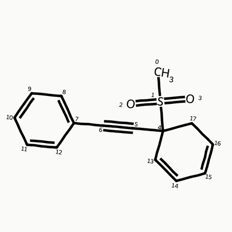 CS(=O)(=O)C1(C#Cc2ccccc2)C=CC=CC1